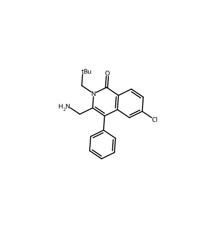 CC(C)(C)Cn1c(CN)c(-c2ccccc2)c2cc(Cl)ccc2c1=O